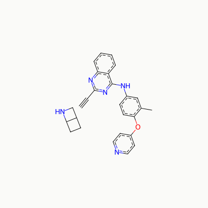 C#Cc1nc(Nc2ccc(Oc3ccncc3)c(C)c2)c2ccccc2n1.C1CC2NCC12